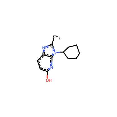 Cc1nc2ccc(O)nc2n1C1CCCCC1